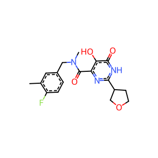 Cc1cc(CN(C)C(=O)c2nc(C3CCOC3)[nH]c(=O)c2O)ccc1F